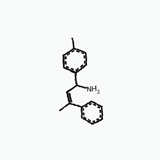 CC(=CC(N)c1ccc(C)cc1)c1ccccc1